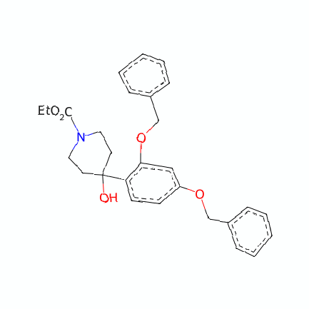 CCOC(=O)N1CCC(O)(c2ccc(OCc3ccccc3)cc2OCc2ccccc2)CC1